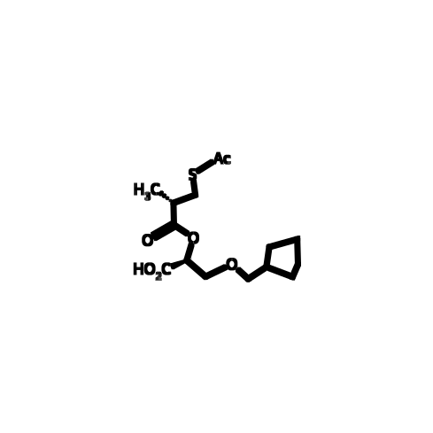 CC(=O)SC[C@@H](C)C(=O)O[C@@H](COCC1CCCC1)C(=O)O